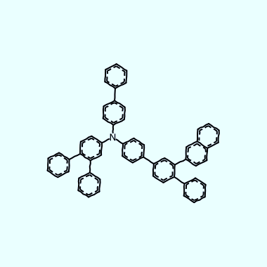 c1ccc(-c2ccc(N(c3ccc(-c4ccc(-c5ccccc5)c(-c5ccc6ccccc6c5)c4)cc3)c3ccc(-c4ccccc4)c(-c4ccccc4)c3)cc2)cc1